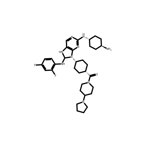 N[C@H]1CC[C@H](Nc2ncc3c(n2)N([C@H]2CC[C@@H](C(=O)N4CCC(N5CCCC5)CC4)CC2)C(Nc2ccc(F)cc2F)N3)CC1